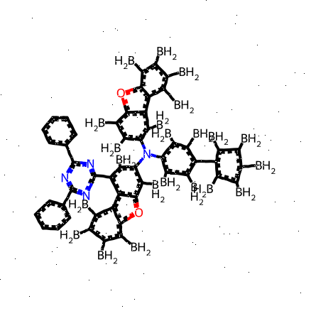 Bc1c(B)c(B)c(-c2c(B)c(B)c(N(c3c(B)c(-c4nc(-c5ccccc5)nc(-c5ccccc5)n4)c4c(oc5c(B)c(B)c(B)c(B)c54)c3B)c3c(B)c(B)c4oc5c(B)c(B)c(B)c(B)c5c4c3B)c(B)c2B)c(B)c1B